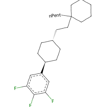 CCCCCC1(CC[C@H]2CC[C@H](c3cc(F)c(F)c(F)c3)CC2)CCCCC1